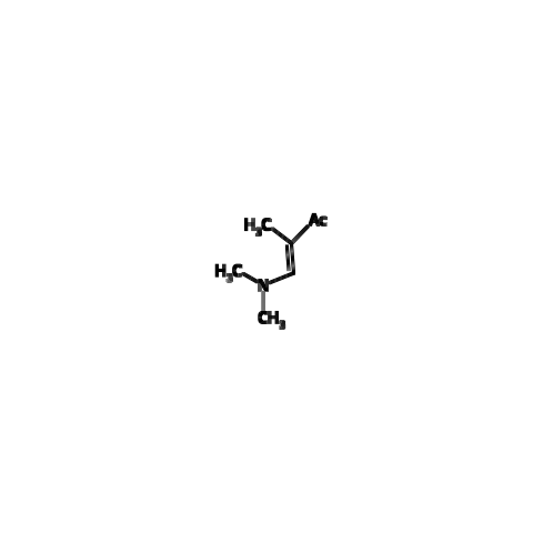 CC(=O)C(C)=CN(C)C